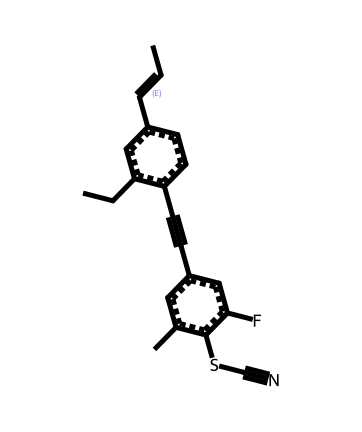 C/C=C/c1ccc(C#Cc2cc(C)c(SC#N)c(F)c2)c(CC)c1